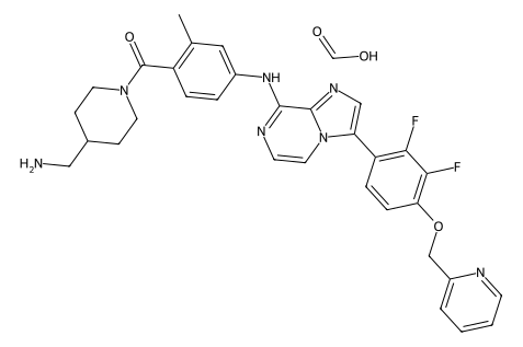 Cc1cc(Nc2nccn3c(-c4ccc(OCc5ccccn5)c(F)c4F)cnc23)ccc1C(=O)N1CCC(CN)CC1.O=CO